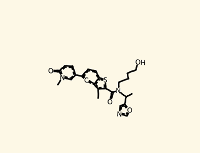 Cc1c(C(=O)N(CCCCO)C(C)c2cnco2)sc2ccc(-c3ccc(=O)n(C)c3)cc12